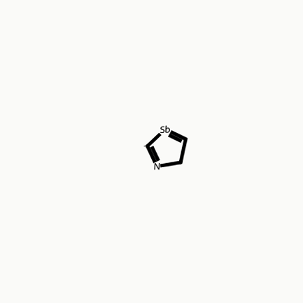 [C]1=NC[CH]=[Sb]1